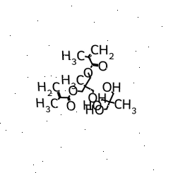 C=C(C)C(=O)OCC(C)(CO)COC(=O)C(=C)C.CC(CO)(CO)CO